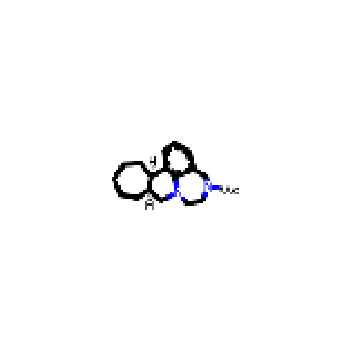 CC(=O)N1CCN2C[C@H]3CCCCC[C@H]3c3cccc(c32)C1